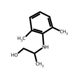 Cc1cccc(C)c1NC(C)CO